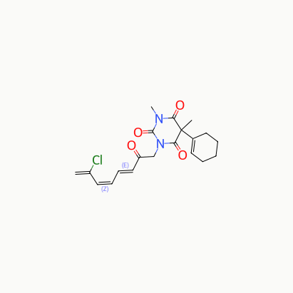 C=C(Cl)/C=C\C=C\C(=O)CN1C(=O)N(C)C(=O)C(C)(C2=CCCCC2)C1=O